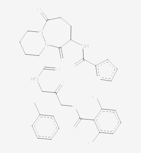 O=C(NC1CCC(=O)N2CCC[C@@H](C(=O)N[C@@H](Cc3ccccc3)C(=O)COC(=O)c3c(Cl)cccc3Cl)N2C1=O)c1ccco1